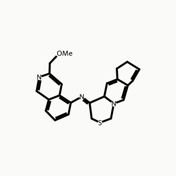 COCc1cc2c(N=C3CSCN4C=C5C=CCCC5=CC34)cccc2cn1